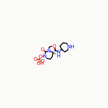 CCN1C(=O)N(OS(=O)(=O)O)CCC[C@H]1C(=O)N[C@@H]1CCCNCC1